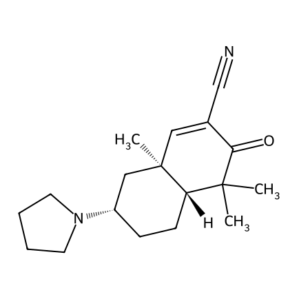 CC1(C)C(=O)C(C#N)=C[C@]2(C)C[C@@H](N3CCCC3)CC[C@@H]12